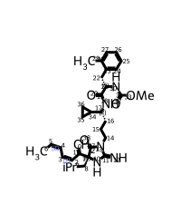 C=C(/C=C\C=C/C)[C@@]1(CC(C)C)NC(=N)N(CCC[C@@H](NC(=O)[C@H](Cc2ccccc2C)NC(=O)OC)C2CC2)C1=O